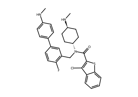 CNc1ccc(-c2ccc(F)c(CN(C(=O)c3sc4ccccc4c3Cl)[C@H]3CC[C@H](NC)CC3)c2)cc1